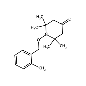 Cc1ccccc1CON1C(C)(C)CC(=O)CC1(C)C